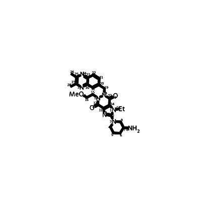 CCn1c(N2CCCC(N)C2)nc2c(=O)n(CCOC)n(Cc3ccc4nc(C)c(C)nc4c3)c(=O)c21